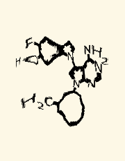 C=C1/C=C\C=C/CCC(n2cc(-n3ccc4cc(F)c(O)cc43)c3c(N)ncnc32)C1